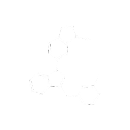 OB1OCc2ccc(-n3cc(Sc4cccc(Cl)c4)c4ccccc43)cc21